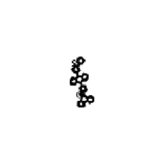 c1ccc2c(c1)sc1ccc(-c3c4ccccc4c(-c4ccc5c(c4)oc4c6ccccc6c6ccccc6c54)c4ccccc34)cc12